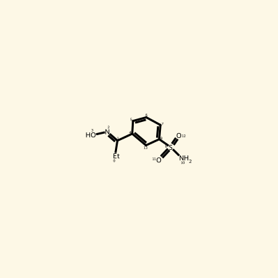 CC/C(=N\O)c1cccc(S(N)(=O)=O)c1